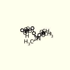 CCCCc1nc2cc(S(=O)(=O)N(C)C)ccc2n1Cc1ccc(-c2ccccc2OC(=O)NS(=O)(=O)c2ccccc2)cc1